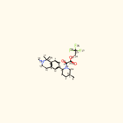 C[C@H]1CCC(c2ccc3c(c2)CCN(C)C3(C)C)N(C(=O)C(=O)OCC(F)(F)F)C1